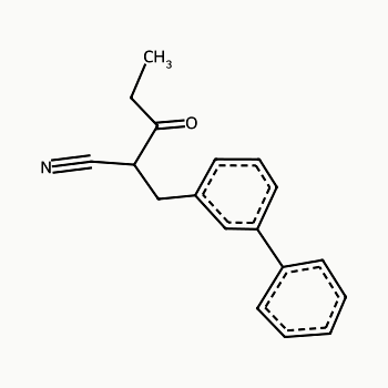 CCC(=O)C(C#N)Cc1cccc(-c2ccccc2)c1